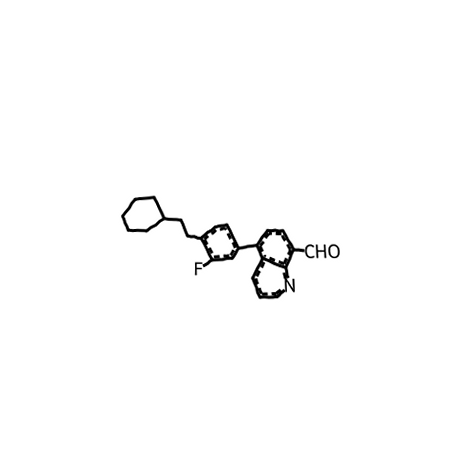 O=Cc1ccc(-c2ccc(CCC3CCCCC3)c(F)c2)c2cccnc12